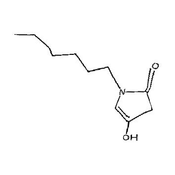 CCCCCCN1C=C(O)CC1=O